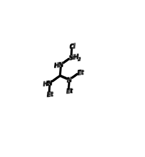 CCNC(N[SiH2]Cl)N(CC)CC